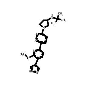 COc1nc(-c2ccc(N3CCC(NC(C)(C)C)C3)nn2)ccc1-c1cn[nH]c1